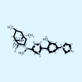 CC1C[C@@]2(C)C[C@H](N(C)c3cnc(-c4ccc(-n5ccnc5)cc4O)nn3)[C@@H](F)[C@@](C)(C1)N2